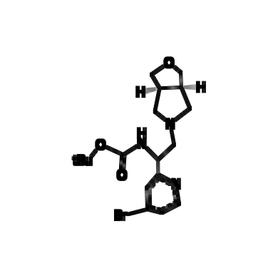 CC(C)(C)OC(=O)NC(CN1C[C@H]2COC[C@H]2C1)c1cc(Br)ccn1